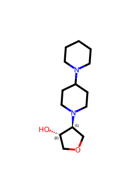 O[C@H]1COC[C@@H]1N1CCC(N2CCCCC2)CC1